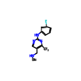 CCC(C)NCc1cnc(Nc2cccc(F)c2)nc1C(F)(F)F